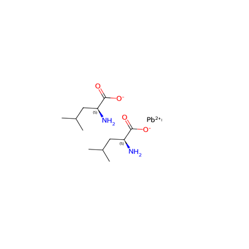 CC(C)C[C@H](N)C(=O)[O-].CC(C)C[C@H](N)C(=O)[O-].[Pb+2]